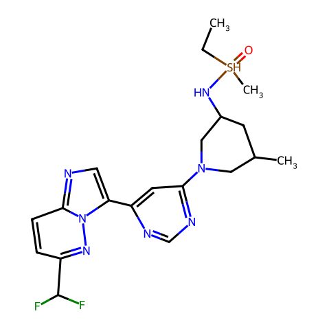 CC[SH](C)(=O)NC1CC(C)CN(c2cc(-c3cnc4ccc(C(F)F)nn34)ncn2)C1